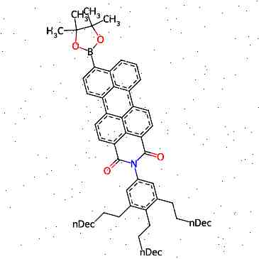 CCCCCCCCCCCCc1cc(N2C(=O)c3ccc4c5cccc6c(B7OC(C)(C)C(C)(C)O7)ccc(c7ccc(c3c47)C2=O)c65)cc(CCCCCCCCCCCC)c1CCCCCCCCCCCC